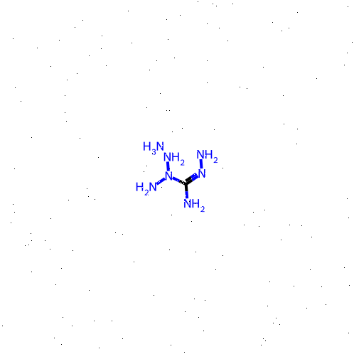 N.NN=C(N)N(N)N